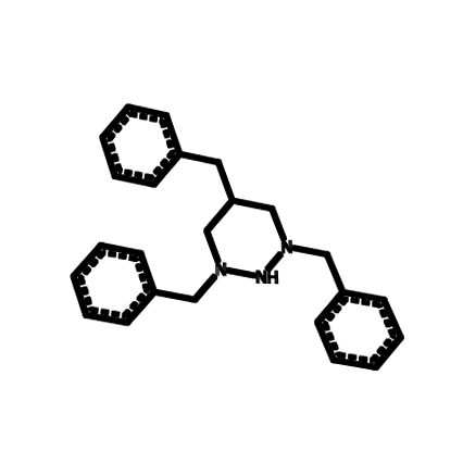 c1ccc(CC2CN(Cc3ccccc3)NN(Cc3ccccc3)C2)cc1